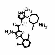 Cn1ncc(NC(=O)c2nc(-c3c(F)cccc3F)sc2N)c1N1CCC[C@H](N)[C@H](F)C1